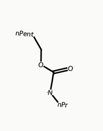 CCCCCCOC(=O)[N]CCC